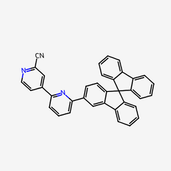 N#Cc1cc(-c2cccc(-c3ccc4c(c3)-c3ccccc3C43c4ccccc4-c4ccccc43)n2)ccn1